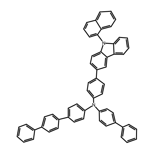 c1ccc(-c2ccc(-c3ccc(N(c4ccc(-c5ccccc5)cc4)c4ccc(-c5ccc6c(c5)c5ccccc5n6-c5cccc6ccccc56)cc4)cc3)cc2)cc1